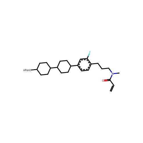 C=CC(=O)N(C)CCCc1ccc(C2CCC(C3CCC(CCCCC)CC3)CC2)cc1F